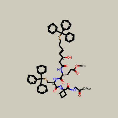 COC(=O)CNC(=O)C1(NC(=O)[C@@H](CSC(c2ccccc2)(c2ccccc2)c2ccccc2)NC(=O)[C@@H](CCC(=O)OC(C)(C)C)NC(=O)C[C@H](O)C=CCCSC(c2ccccc2)(c2ccccc2)c2ccccc2)CCC1